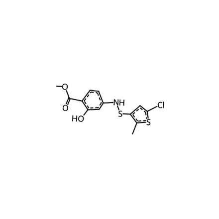 COC(=O)c1ccc(NSc2cc(Cl)sc2C)cc1O